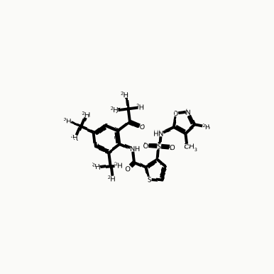 [2H]c1noc(NS(=O)(=O)c2ccsc2C(=O)Nc2c(C(=O)C([2H])([2H])[2H])cc(C([2H])([2H])[2H])cc2C([2H])([2H])[2H])c1C